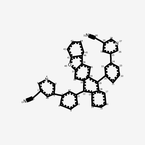 N#Cc1cncc(-c2cccc(-c3c4ccccc4c(-c4cccc(-c5cncc(C#N)c5)c4)c4cc5c(cc34)oc3ccccc35)c2)c1